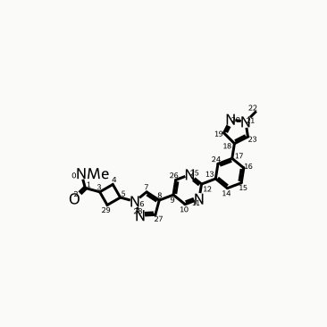 CNC(=O)C1CC(n2cc(-c3cnc(-c4cccc(-c5cnn(C)c5)c4)nc3)cn2)C1